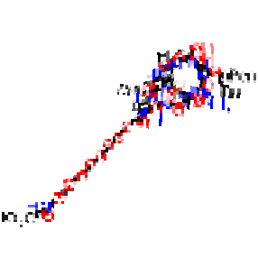 CCCCCC(CCC(C)CC)O[C@@H]1C[C@H]2C(=O)N[C@@H]([C@@H](C)[C@@H](O)CO)C(=O)N[C@H]3Cc4c([nH]c5c(CSC6CCN(C(=O)CCOCCOCCOCCOCCOCCOCCOCCOCCNC(=O)CCC(=O)O)CC6)c(OC)ccc45)[S+]([O-])C[C@H](NC(=O)CNC(=O)[C@H]([C@@H](C)CC)NC(=O)CCNC3=O)C(=O)N[C@@H](CC(N)=O)C(=O)N2C1